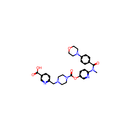 CN(C(=O)c1ccc(N2CCOCC2)cc1)c1ccc(OC(=O)N2CCN(Cc3ccc(C(=O)O)cn3)CC2)cn1